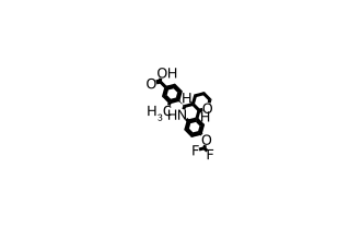 Cc1cc(C(=O)O)ccc1[C@H]1Nc2ccc(OC(F)F)cc2[C@@H]2OCCC[C@H]12